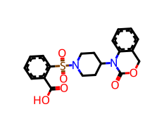 O=C(O)c1ccccc1S(=O)(=O)N1CCC(N2C(=O)OCc3ccccc32)CC1